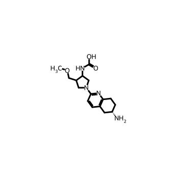 COCC1CN(c2ccc3c(n2)CC[C@H](N)C3)CC1NC(=O)O